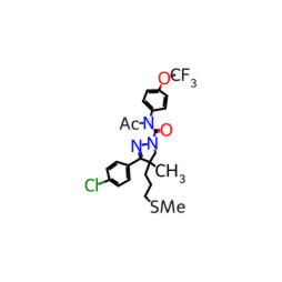 CSCCCC1(C)CN(C(=O)N(C(C)=O)c2ccc(OC(F)(F)F)cc2)N=C1c1ccc(Cl)cc1